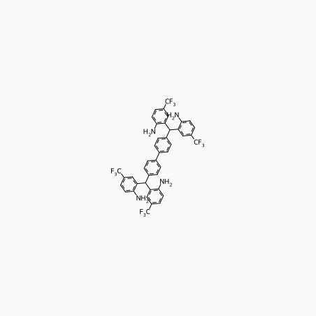 Nc1ccc(C(F)(F)F)cc1C(c1ccc(-c2ccc(C(c3cc(C(F)(F)F)ccc3N)c3cc(C(F)(F)F)ccc3N)cc2)cc1)c1cc(C(F)(F)F)ccc1N